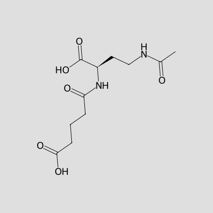 CC(=O)NCC[C@@H](NC(=O)CCCC(=O)O)C(=O)O